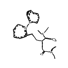 CN(C)C(=O)C(CCc1cccc[n+]1-[n+]1ccccc1)C(=O)N(C)C